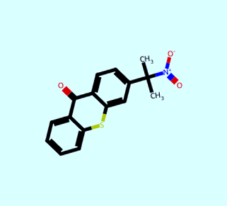 CC(C)(c1ccc2c(=O)c3ccccc3sc2c1)[N+](=O)[O-]